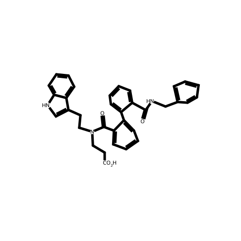 O=C(O)CCN(CCc1c[nH]c2ccccc12)C(=O)c1ccccc1-c1ccccc1C(=O)NCc1ccccc1